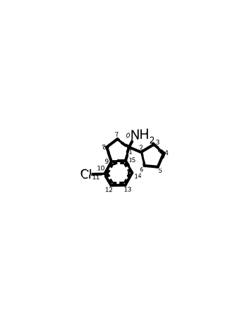 NC1(C2CCCC2)CCc2c(Cl)cccc21